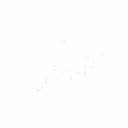 CN1CCC(Oc2cc(NS(=O)(=O)c3cc(-c4ccc(F)cc4)c(Cl)s3)ccc2C(F)(F)F)C1